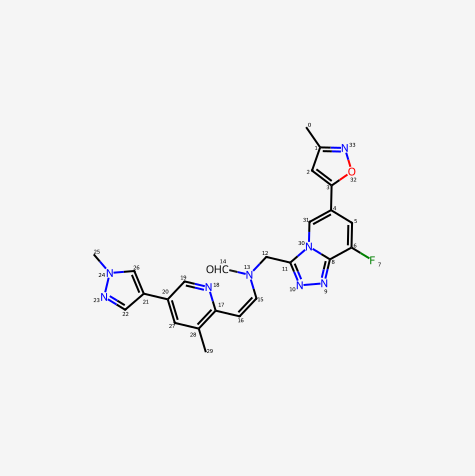 Cc1cc(-c2cc(F)c3nnc(CN(C=O)/C=C\c4ncc(-c5cnn(C)c5)cc4C)n3c2)on1